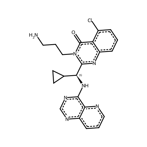 NCCCn1c([C@@H](Nc2ncnc3cccnc23)C2CC2)nc2cccc(Cl)c2c1=O